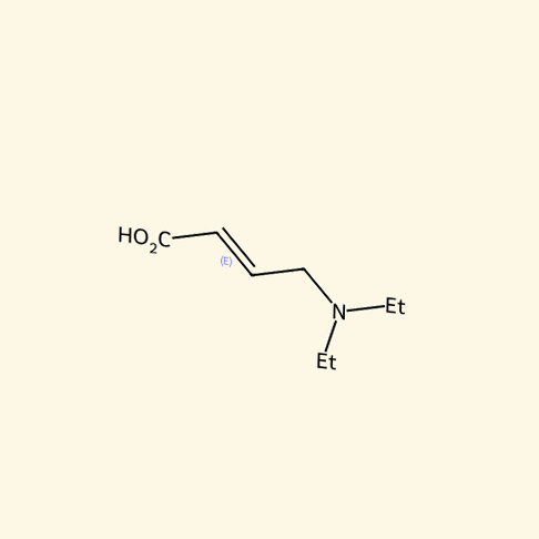 CCN(CC)C/C=C/C(=O)O